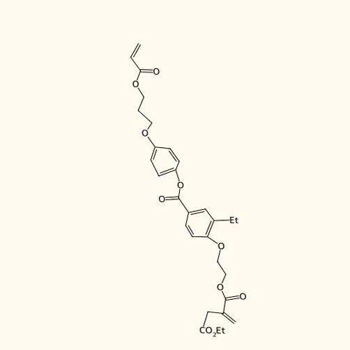 C=CC(=O)OCCCOc1ccc(OC(=O)c2ccc(OCCOC(=O)C(=C)CC(=O)OCC)c(CC)c2)cc1